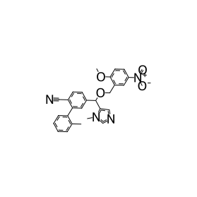 COc1ccc([N+](=O)[O-])cc1COC(c1ccc(C#N)c(-c2ccccc2C)c1)c1cncn1C